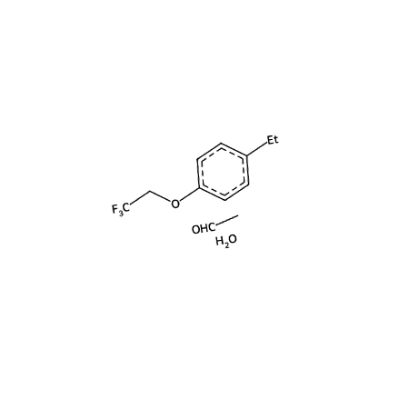 CC=O.CCc1ccc(OCC(F)(F)F)cc1.O